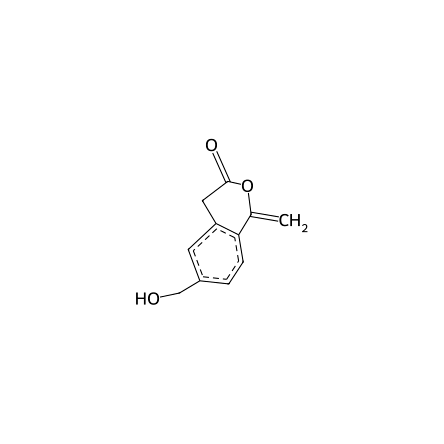 C=C1OC(=O)Cc2cc(CO)ccc21